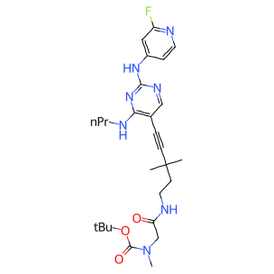 CCCNc1nc(Nc2ccnc(F)c2)ncc1C#CC(C)(C)CCNC(=O)CN(C)C(=O)OC(C)(C)C